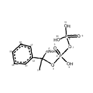 CCCCCCCCCC(C)(OP(=O)(O)OP(=O)(O)O)c1ccccc1